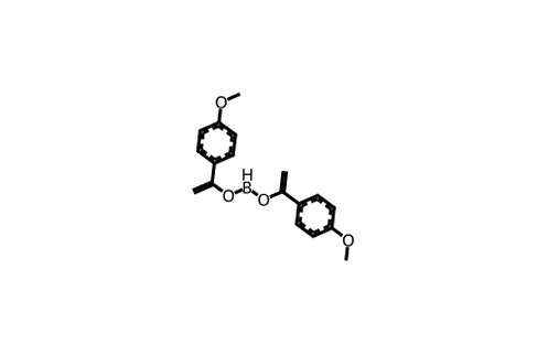 C=C(OBOC(=C)c1ccc(OC)cc1)c1ccc(OC)cc1